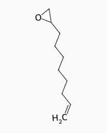 C=CCCCCCCC1CO1